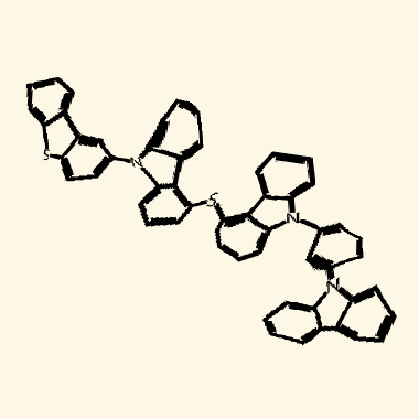 c1cc(-n2c3ccccc3c3ccccc32)cc(-n2c3ccccc3c3c(Sc4cccc5c4c4ccccc4n5-c4ccc5sc6ccccc6c5c4)cccc32)c1